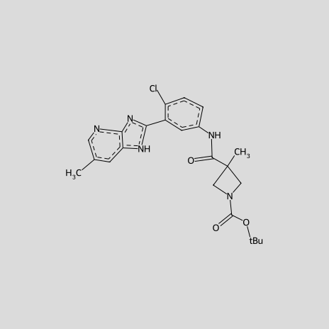 Cc1cnc2nc(-c3cc(NC(=O)C4(C)CN(C(=O)OC(C)(C)C)C4)ccc3Cl)[nH]c2c1